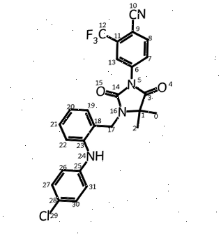 CC1(C)C(=O)N(c2ccc(C#N)c(C(F)(F)F)c2)C(=O)N1Cc1ccccc1Nc1ccc(Cl)cc1